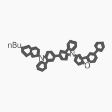 CCCCc1ccc2cc(-n3c4ccccc4c4cc(-c5ccc6c(c5)c5ccccc5n6-c5ccc6oc7ccc(-c8ccccc8)cc7c6c5)ccc43)ccc2c1